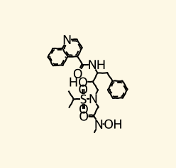 CC(C)S(=O)(=O)N(CC(=O)N(C)O)CC(O)C(Cc1ccccc1)NC(=O)c1ccnc2ccccc12